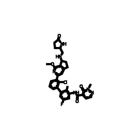 COc1nc(-c2cccc(-c3cc(F)cc(NC(=O)c4ccnn(C)c4=O)c3C)c2Cl)cc2c1C(NCC1CCC(=O)N1)CC2